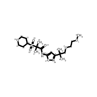 COCCOCC(C)(C)c1cc(NC(=O)C(C)(C)S(=O)(=O)C2CCOCC2)on1